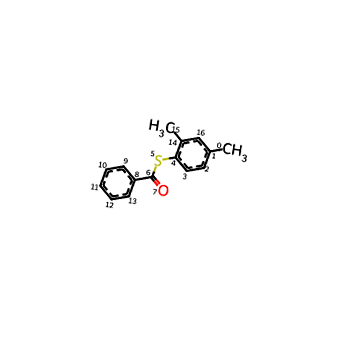 Cc1ccc(SC(=O)c2ccccc2)c(C)c1